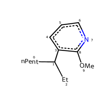 CCCCCC(CC)c1cccnc1OC